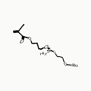 C=C(C)C(=O)OCCCO[SiH2]OCCOCCCC